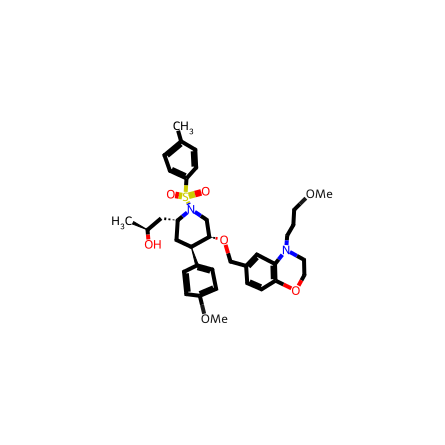 COCCCN1CCOc2ccc(CO[C@H]3CN(S(=O)(=O)c4ccc(C)cc4)[C@@H](C[C@H](C)O)C[C@@H]3c3ccc(OC)cc3)cc21